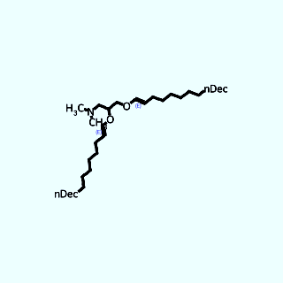 CCCCCCCCCCCCCCCC/C=C/OCC(CN(C)C)O/C=C/CCCCCCCCCCCCCCCC